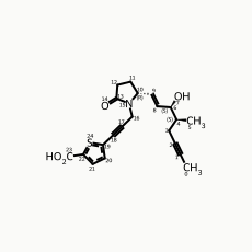 CC#CC[C@H](C)[C@H](O)C=C[C@H]1CCC(=O)N1CC#Cc1ccc(C(=O)O)s1